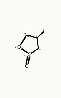 C[C@@H]1COS(=O)C1